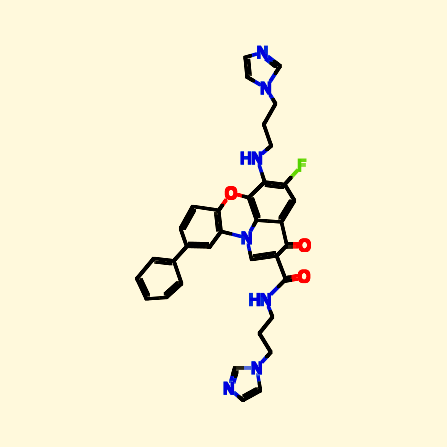 O=C(NCCCn1ccnc1)c1cn2c3c(c(NCCCn4ccnc4)c(F)cc3c1=O)Oc1ccc(-c3ccccc3)cc1-2